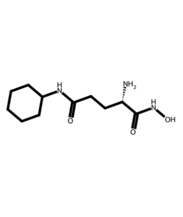 N[C@@H](CCC(=O)NC1CCCCC1)C(=O)NO